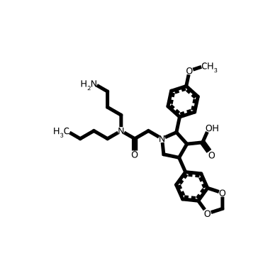 CCCCN(CCCN)C(=O)CN1CC(c2ccc3c(c2)OCO3)C(C(=O)O)C1c1ccc(OC)cc1